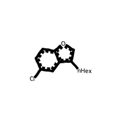 [CH2]CCCCCc1coc2ccc(Cl)cc12